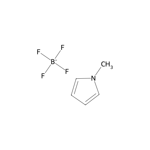 Cn1cccc1.F[B-](F)(F)F